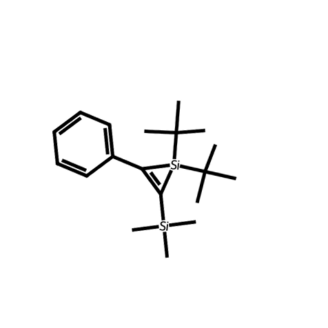 CC(C)(C)[Si]1(C(C)(C)C)C(c2ccccc2)=C1[Si](C)(C)C